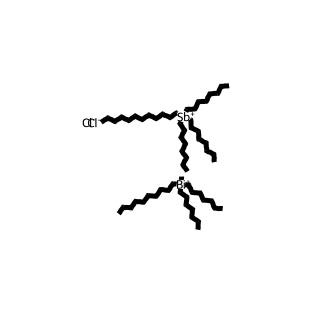 CCCCCCCCCCC[CH2][Sb+]([CH2]CCCCCCC)([CH2]CCCCCCC)[CH2]CCCCCCC.CCCCCCCCC[CH2][Bi+]([CH3])([CH2]CCCCCC)[CH2]CCCCCC.[Cl-].[Cl-]